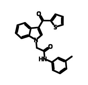 Cc1cccc(NC(=O)Cn2cc(C(=O)c3cccs3)c3ccccc32)c1